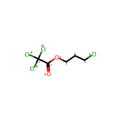 O=C(OCCCCl)C(Cl)(Cl)Cl